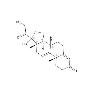 C[C@]12CCC(=O)C=C1CC[C@@H]1C2=CC[C@@]2(C)[C@H]1CC[C@]2(O)C(=O)CO